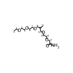 CCOCCOCCOCC(C)COCCOCC(N)=O